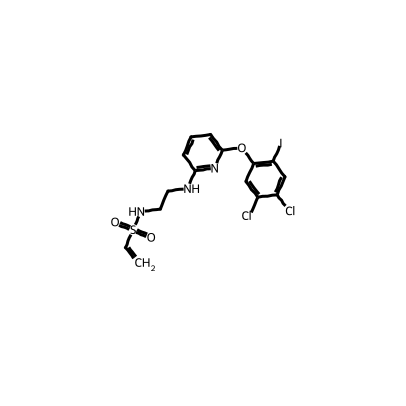 C=CS(=O)(=O)NCCNc1cccc(Oc2cc(Cl)c(Cl)cc2I)n1